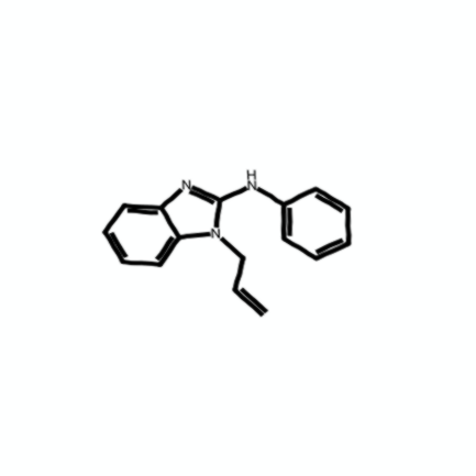 C=CCn1c(Nc2ccccc2)nc2ccccc21